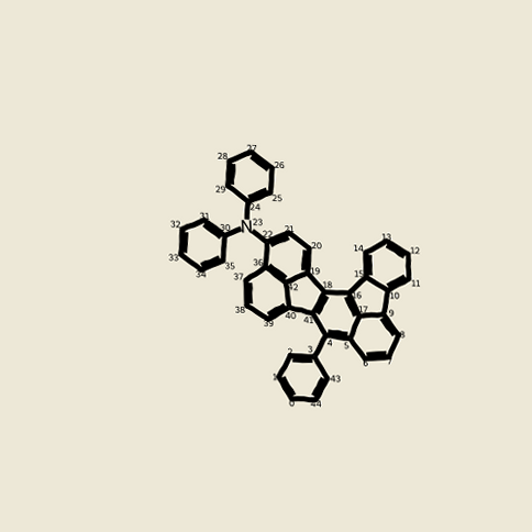 c1ccc(-c2c3cccc4c5ccccc5c(c34)c3c4ccc(N(c5ccccc5)c5ccccc5)c5cccc(c23)c54)cc1